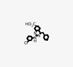 O=C(O)c1ccc2c(Cc3ccccc3)nc(Nc3cccc(Cl)c3)nc2c1